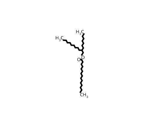 CCCCCCCCCCCCCCCC(=O)OCCC(CCCCCCCC)CCCCCCCCCC